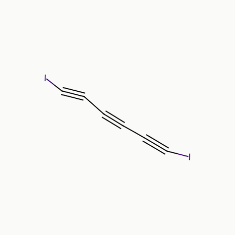 IC#CC#CC#CI